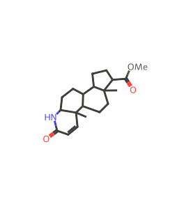 COC(=O)C1CCC2C3CCC4NC(=O)C=CC4(C)C3CCC12C